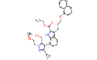 CCOC(=O)c1[nH]c2c(-c3c(C4CC4)nn(CCOC)c3CO)cccc2c1CCCOc1cccc2ccccc12